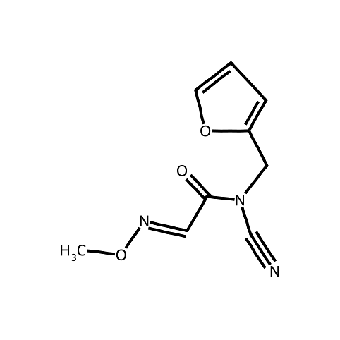 CON=CC(=O)N(C#N)Cc1ccco1